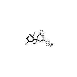 O=C(O)NC1=N[C@](CF)(c2cc(Br)cnc2F)C[C@@H](C(F)(F)F)O1